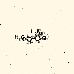 COc1ccc(-c2ccc(S)c(N(N)I)c2)cc1